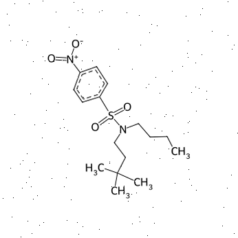 CCCCN(CCC(C)(C)C)S(=O)(=O)c1ccc([N+](=O)[O-])cc1